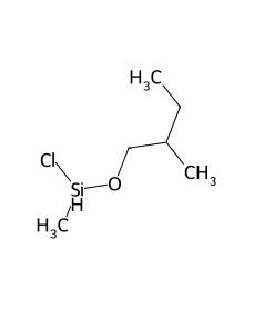 CCC(C)CO[SiH](C)Cl